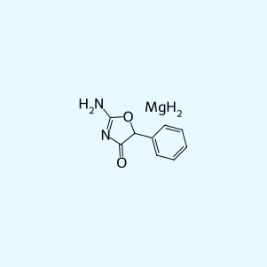 NC1=NC(=O)C(c2ccccc2)O1.[MgH2]